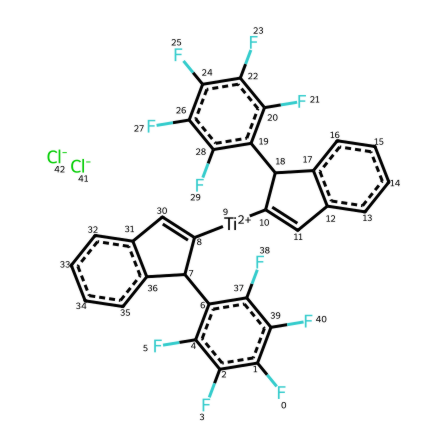 Fc1c(F)c(F)c(C2[C]([Ti+2][C]3=Cc4ccccc4C3c3c(F)c(F)c(F)c(F)c3F)=Cc3ccccc32)c(F)c1F.[Cl-].[Cl-]